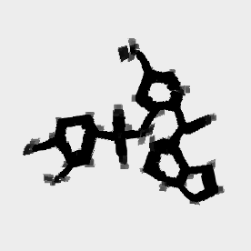 Cc1cnc(C(=O)c2ncnc3c2C=CC3)c(NS(=O)(=O)c2ccc(Cl)c(C)c2)c1